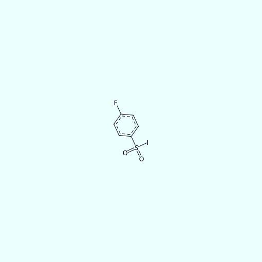 O=S(=O)(I)c1ccc(F)cc1